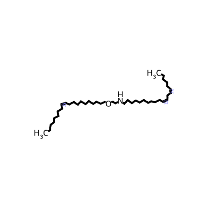 CCCCC/C=C\C/C=C\CCCCCCCCCCNCCOCCCCCCCCCC/C=C\CCCCCCCC